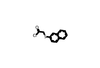 O=C(Cl)CSc1ccc2ccccc2c1